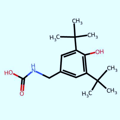 CC(C)(C)c1cc(CNC(=O)O)cc(C(C)(C)C)c1O